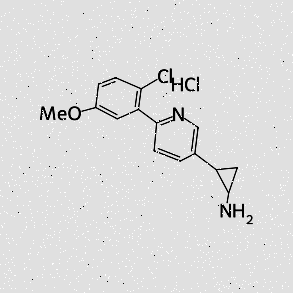 COc1ccc(Cl)c(-c2ccc(C3CC3N)cn2)c1.Cl